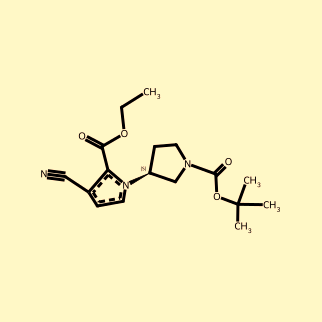 CCOC(=O)c1c(C#N)ccn1[C@H]1CCN(C(=O)OC(C)(C)C)C1